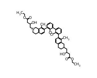 CCOC(=O)CC(O)CC1CCc2ccc(-c3cccc(-c4cccc(-c5ccc6c(c5C)CN(CC(O)CC(=O)OCC)CC6)c4Cl)c3Cl)c(C)c2C1